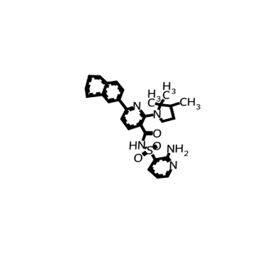 CC1CCN(c2nc(-c3ccc4ccccc4c3)ccc2C(=O)NS(=O)(=O)c2cccnc2N)C1(C)C